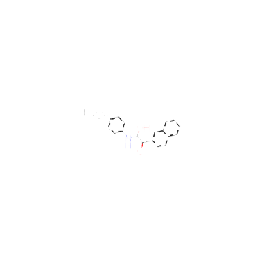 O=C(O)c1ccc(NC(O)C(=O)c2ccc3ccccc3c2)cc1